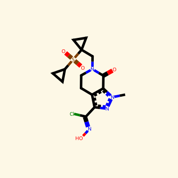 Cn1nc(/C(Cl)=N/O)c2c1C(=O)N(CC1(S(=O)(=O)C3CC3)CC1)CC2